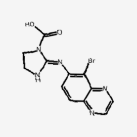 O=C(O)N1CCNC1=Nc1ccc2nccnc2c1Br